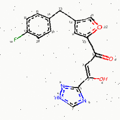 O=C(C=C(O)c1nc[nH]n1)c1cc(Cc2ccc(F)cc2)co1